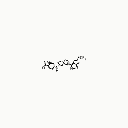 CNC(=O)c1ccc(N[C@H]2CC[C@@]3(CCN(c4ncnc5sc(CC(F)(F)F)cc45)C3)C2)cc1